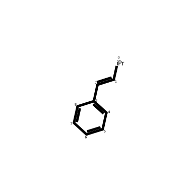 [CH2]C(C)/C=C/c1ccccc1